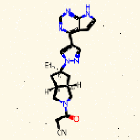 CC[C@@]1(n2cc(-c3ncnc4[nH]ccc34)cn2)C[C@H]2CN(C(=O)CC#N)C[C@H]2C1